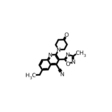 CCc1ccc2nc(N3CCC(=O)CC3)c(-c3nc(C)no3)c(C#N)c2c1